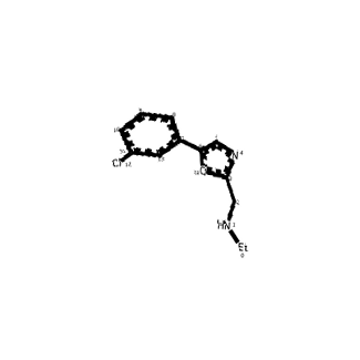 CCNCc1ncc(-c2cccc(Cl)c2)o1